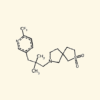 CC(C)(Cc1ccc(C(F)(F)F)nc1)CN1CCC2(CCS(=O)(=O)C2)C1